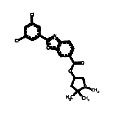 CN1CC(OC(=O)c2ccc3nc(-c4cc(Cl)cc(Cl)c4)oc3c2)CC1(C)C